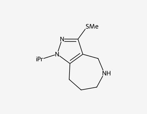 CSc1nn(C(C)C)c2c1CNCCC2